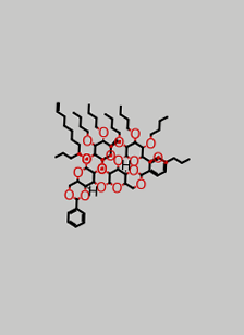 C=CCCCCCCO[C@@H]1OC2COC(c3ccccc3)O[C@@H]2C(O[C@@H]2OC3COC(c4ccccc4)O[C@@H]3C(O[C@H]3OC(COCCCC)[C@H](OCCCC)C(OCCCC)C3OCCCC)C2O[C@@H]2OC(C)[C@@H](OCCCC)C(OCCCC)C2OCCCC)C1OCCCC